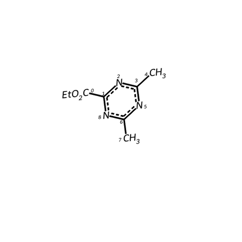 CCOC(=O)c1nc(C)nc(C)n1